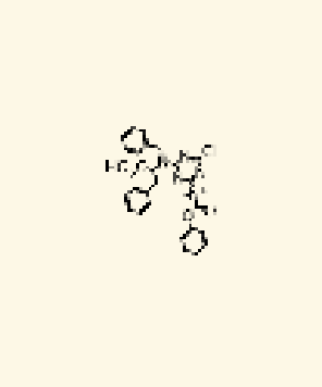 C[N+](C)(C(=O)OC1=CC[CH]C=C1)c1nc(Cl)nc(N(Cc2ccccc2)C(Cc2ccccc2)C(=O)O)n1